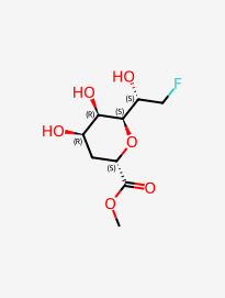 COC(=O)[C@@H]1C[C@@H](O)[C@@H](O)[C@@H]([C@H](O)CF)O1